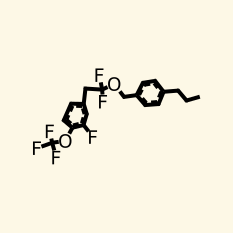 CCCc1ccc(COC(F)(F)Cc2ccc(OC(F)(F)F)c(F)c2)cc1